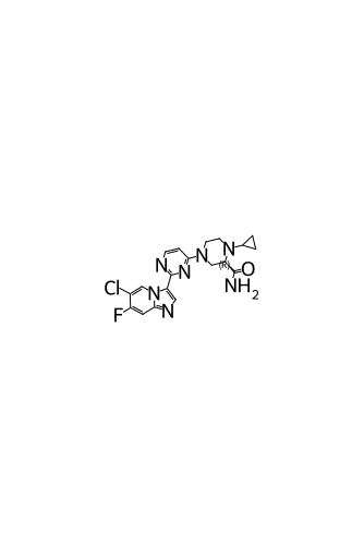 NC(=O)[C@H]1CN(c2ccnc(-c3cnc4cc(F)c(Cl)cn34)n2)CCN1C1CC1